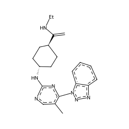 C=C(NCC)[C@H]1CC[C@H](Nc2ncc(C)c(-n3nnc4ccccc43)n2)CC1